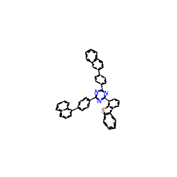 c1ccc2cc(-c3ccc(-c4nc(-c5ccc(-c6cccc7ccccc67)cc5)nc(-c5cccc6c5sc5ccccc56)n4)cc3)ccc2c1